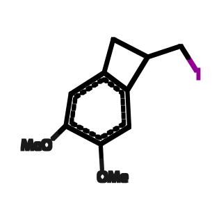 COc1cc2c(cc1OC)C(CI)C2